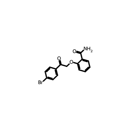 NC(=O)c1ccccc1OCC(=O)c1ccc(Br)cc1